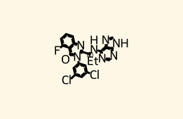 CC[C@@H](Nc1ncnc2[nH]cnc12)c1nc2cccc(F)c2c(=O)n1-c1cc(Cl)cc(Cl)c1